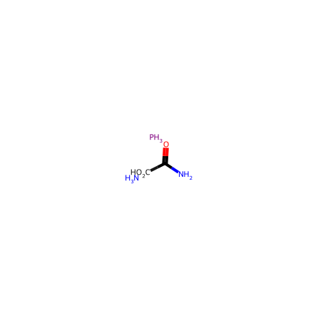 N.NC(=O)C(=O)O.P